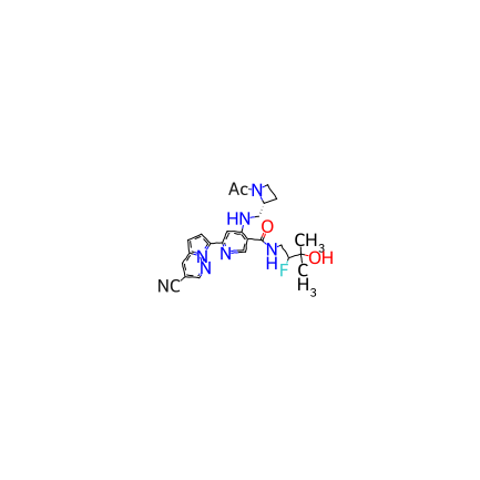 CC(=O)N1CC[C@@H]1CNc1cc(-c2ccc3cc(C#N)cnn23)ncc1C(=O)NCC(F)C(C)(C)O